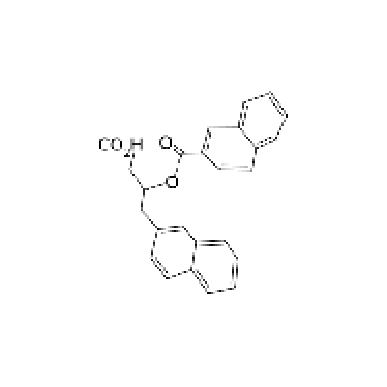 O=C(O)CC(Cc1ccc2ccccc2c1)OC(=O)c1ccc2ccccc2c1